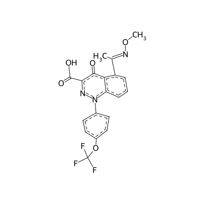 CO/N=C(\C)c1cccc2c1c(=O)c(C(=O)O)nn2-c1ccc(OC(F)(F)F)cc1